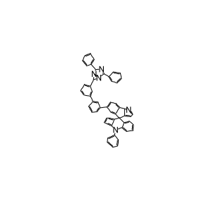 c1ccc(C2=NC(c3ccccc3)N3C(c4cccc(-c5cccc(-c6ccc7c(c6)C6(c8ccccc8N(c8ccccc8)c8ccccc86)c6cccnc6-7)c5)c4)N23)cc1